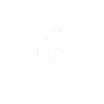 NCC1CCOCC1.O=CO